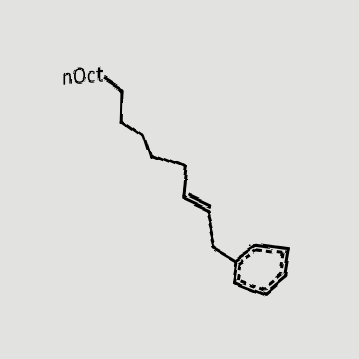 CCCCCCCCCCCCCC=CCc1[c]cccc1